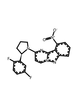 O=[N+]([O-])c1cccc2nn3ccc(N4CCC[C@@H]4c4cc(F)ccc4F)nc3c12